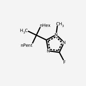 CCCCCCC(C)(CCCCC)c1nc(F)nn1C